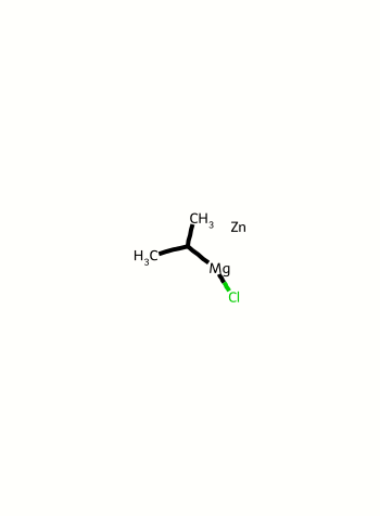 C[CH](C)[Mg][Cl].[Zn]